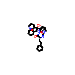 CO/C=N\[C@@H](CCc1ccccc1)C(=O)N[C@H](c1ccccc1)C(O)(c1cccnc1)c1cccnc1